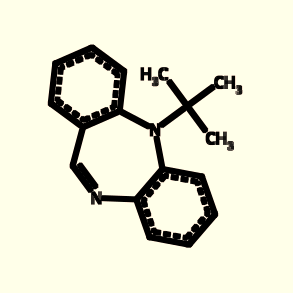 CC(C)(C)N1c2ccccc2C=Nc2ccccc21